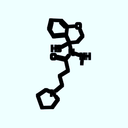 CNN(C(=O)CCCN1CCCCC1)C1(S)CCOc2ccccc21